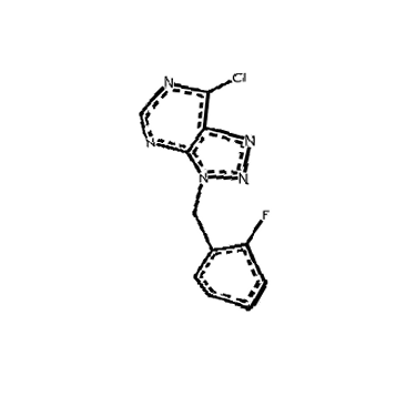 Fc1ccccc1Cn1nnc2c(Cl)ncnc21